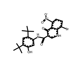 CC(C)(C)c1cc(C(C)(C)C)c(NC(=O)c2c[nH]c3c(Br)ccc([N+](=O)[O-])c3c2=O)cc1O